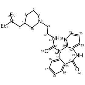 CCN(CC)CC1CCCN(CCNC(=O)N2c3ccccc3C(=O)Nc3cccnc32)C1